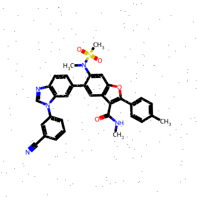 CNC(=O)c1c(-c2ccc(C)cc2)oc2cc(N(C)S(C)(=O)=O)c(-c3ccc4ncn(-c5cccc(C#N)c5)c4c3)cc12